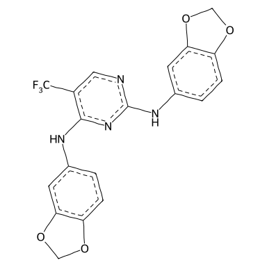 FC(F)(F)c1cnc(Nc2ccc3c(c2)OCO3)nc1Nc1ccc2c(c1)OCO2